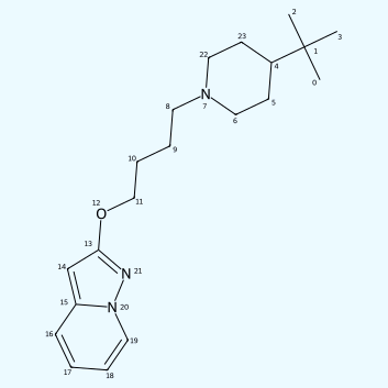 CC(C)(C)C1CCN(CCCCOc2cc3ccccn3n2)CC1